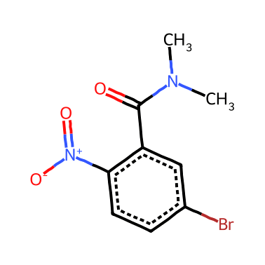 CN(C)C(=O)c1cc(Br)ccc1[N+](=O)[O-]